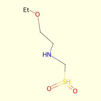 [CH2]COCCNC[SH](=O)=O